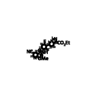 CCOC(=O)c1ncn2cc(-c3c(F)ccc(NS(=O)(=O)c4cc(C#N)cnc4OC)c3F)ccc12